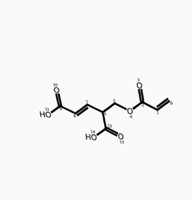 C=CC(=O)OCC(C=CC(=O)O)C(=O)O